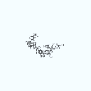 COC[C@H]1CN(C(=O)c2ccc(NC(=O)c3ncc(Cc4c(C(F)(F)F)n[nH]c4-c4ccc(N)cn4)[nH]3)cc2Cl)CCN1C(=O)C(C1CCN(CC(=O)O)CC1)C1CNC1